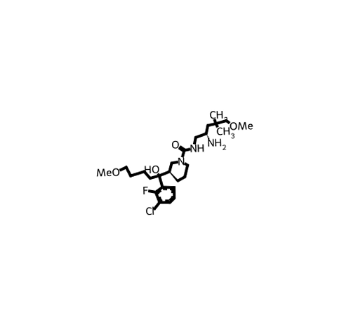 COCCCC[C@@](O)(c1cccc(Cl)c1F)[C@@H]1CCCN(C(=O)NC[C@@H](N)CC(C)(C)COC)C1